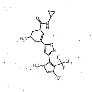 Cn1cc(C(F)(F)F)c(C(F)(F)C(F)(F)F)c1-c1cc(C2=CC(C(=O)NC3CC3)CC(N)S2)on1